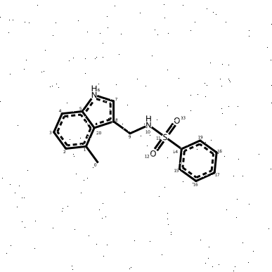 Cc1cccc2[nH]cc(CNS(=O)(=O)c3ccccc3)c12